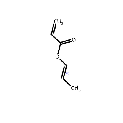 C=CC(=O)O/C=C/C